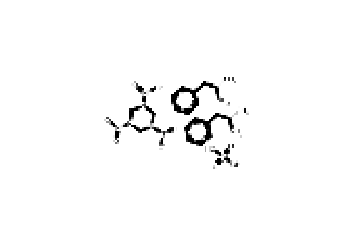 C[C@H](N)Cc1ccccc1.C[C@H](N)Cc1ccccc1.O=S(=O)(O)O.O=[N+]([O-])N1CN([N+](=O)[O-])CN([N+](=O)[O-])C1